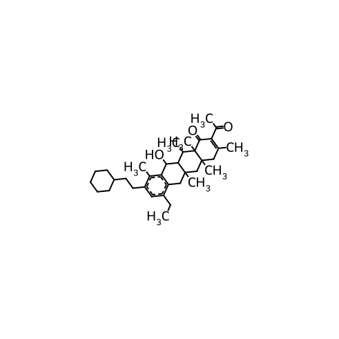 CCc1cc(CCC2CCCCC2)c(C)c2c1CC1(C)CC3(C)CC(C)=C(C(C)=O)C(=O)C3(C)C(C)C1C2O